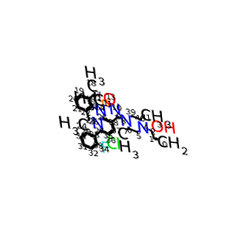 C=CC(O)N1C[C@H](C)N(C2=NP(C)(=O)N(c3c(CC)cccc3CC)c3nc(-c4ccccc4F)c(Cl)cc32)C[C@H]1C